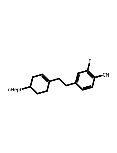 CCCCCCCC1CC=C(CCc2ccc(C#N)c(F)c2)CC1